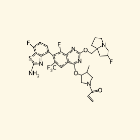 C=CC(=O)N1CC(C)C(Oc2nc(OCC34CCCN3CC(F)C4)nc3c(F)c(-c4ccc(F)c5sc(N)nc45)c(C(F)(F)F)cc23)C1